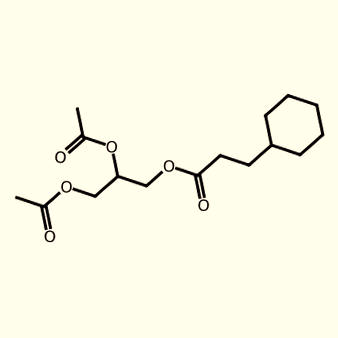 CC(=O)OCC(COC(=O)CCC1CCCCC1)OC(C)=O